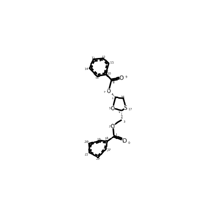 O=C(OC[C@@H]1O[C@H](OC(=O)c2ccccc2)CS1)c1ccccc1